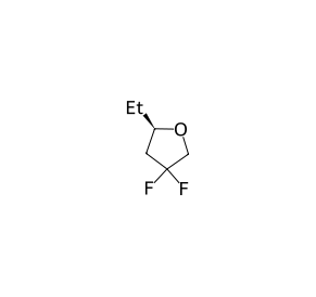 CC[C@@H]1CC(F)(F)CO1